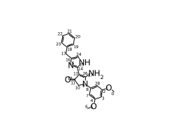 COc1cc(OC)cc(N2CC(=O)C(c3nc(Cc4ccccc4)c[nH]3)=C2N)c1